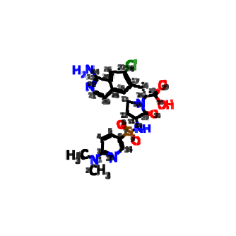 CN(C)c1ccc(S(=O)(=O)N[C@H]2CCN([C@H](Cc3cc4ccnc(N)c4cc3Cl)C(=O)O)C2=O)cn1